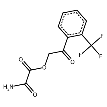 NC(=O)C(=O)OCC(=O)c1ccccc1C(F)(F)F